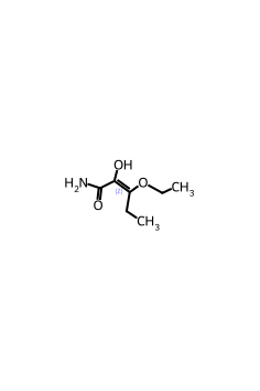 CCO/C(CC)=C(\O)C(N)=O